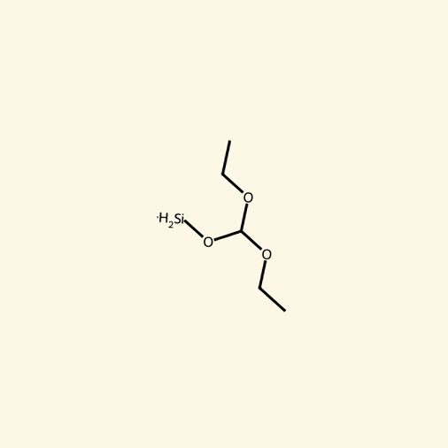 CCOC(O[SiH2])OCC